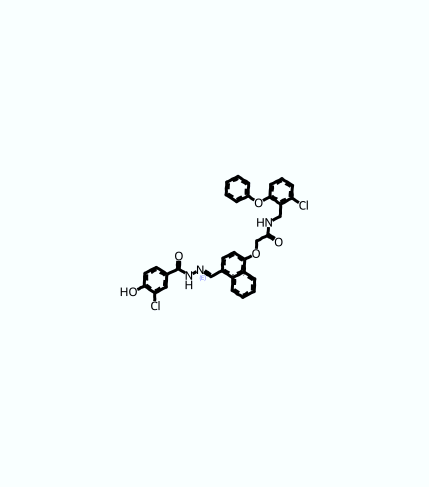 O=C(COc1ccc(/C=N/NC(=O)c2ccc(O)c(Cl)c2)c2ccccc12)NCc1c(Cl)cccc1Oc1ccccc1